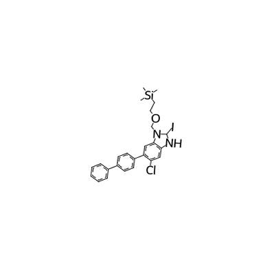 C[Si](C)(C)CCOCN1c2cc(-c3ccc(-c4ccccc4)cc3)c(Cl)cc2NC1I